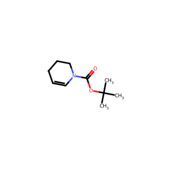 CC(C)(C)OC(=O)N1C=C[CH]CC1